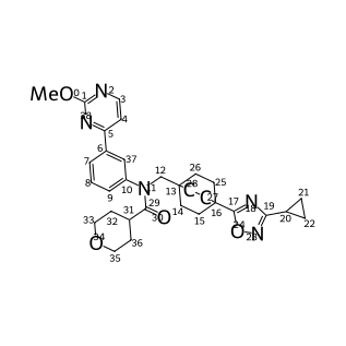 COc1nccc(-c2cccc(N(CC34CCC(c5nc(C6CC6)no5)(CC3)CC4)C(=O)C3CCOCC3)c2)n1